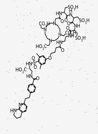 Cc1cc(OCCCC(=O)NCCNC(=O)C(CS(=O)(=O)O)NC(=O)C(CS(=O)(=O)O)NC(=O)C(CS(=O)(=O)O)NC(=O)CN2CCN(CC(=O)O)CCN(CC(=O)O)CCN(CC(=O)O)CC2)cc(C)c1S(=O)(=O)N[C@H](CNC(=O)c1ccc(CCc2ccc3c(n2)NCCC3)cc1)C(=O)O